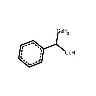 [GeH3][C]([GeH3])c1ccccc1